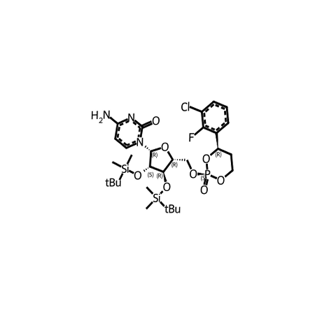 CC(C)(C)[Si](C)(C)O[C@H]1[C@H](O[Si](C)(C)C(C)(C)C)[C@@H](CO[P@]2(=O)OCC[C@H](c3cccc(Cl)c3F)O2)O[C@H]1n1ccc(N)nc1=O